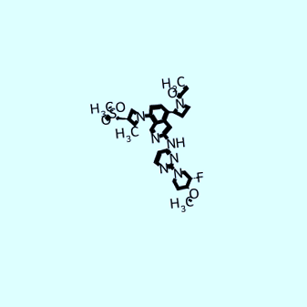 C=CC(=O)N1CC[C@H]1c1ccc(N2C[C@H](CS(C)(=O)=O)[C@H]2C)c2cnc(Nc3ccnc(N4CC[C@@H](OC)[C@@H](F)C4)n3)cc12